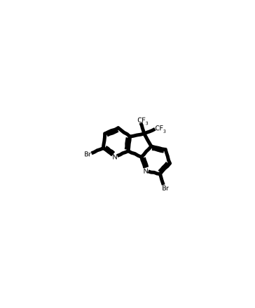 FC(F)(F)C1(C(F)(F)F)c2ccc(Br)nc2-c2nc(Br)ccc21